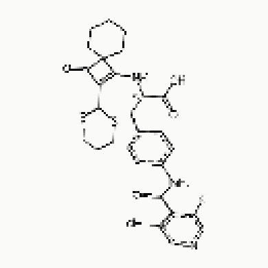 O=C(Nc1ccc(C[C@H](NC2=C(C3SCCCS3)C(=O)C23CCCCC3)C(=O)O)cc1)c1c(Cl)cncc1Cl